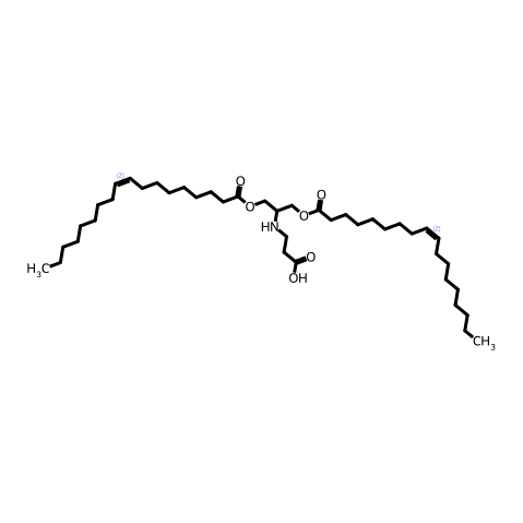 CCCCCCCC/C=C\CCCCCCCC(=O)OCC(COC(=O)CCCCCCC/C=C\CCCCCCCC)NCCC(=O)O